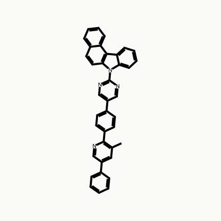 Cc1cc(-c2ccccc2)cnc1-c1ccc(-c2cnc(-n3c4ccccc4c4c5ccccc5ccc43)nc2)cc1